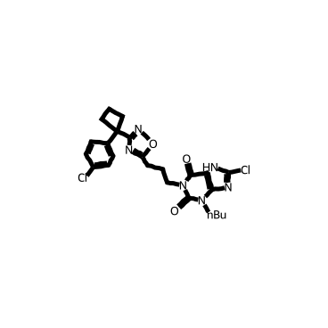 CCCCn1c(=O)n(CCCc2nc(C3(c4ccc(Cl)cc4)CCC3)no2)c(=O)c2[nH]c(Cl)nc21